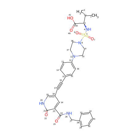 CC(C)[C@@H](NS(=O)(=O)N1CCN(c2ccc(C#Cc3c[nH]c(=O)c(C(=O)NCc4ccccc4)c3)cc2)CC1)C(=O)O